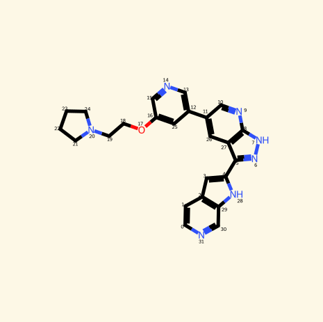 c1cc2cc(-c3n[nH]c4ncc(-c5cncc(OCCN6CCCC6)c5)cc34)[nH]c2cn1